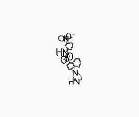 O=[N+]([O-])c1cccc(NS(=O)(=O)c2ccc(N3CCCNCC3)c3ccccc23)c1